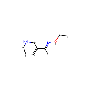 CCON=C(C)C1=CCCNC1